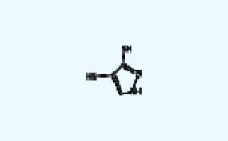 Sc1c[nH]nc1S